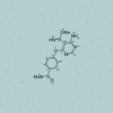 CNC(=O)c1ccc(Oc2ncnc(N)c2C(=N)OC)cc1